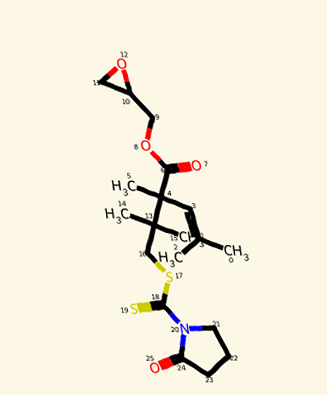 CC(C)=CC(C)(C(=O)OCC1CO1)C(C)(C)CSC(=S)N1CCCC1=O